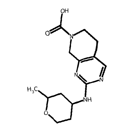 CC1CC(Nc2ncc3c(n2)CN(C(=O)O)CC3)CCO1